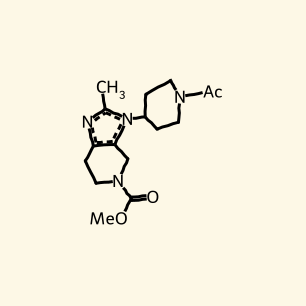 COC(=O)N1CCc2nc(C)n(C3CCN(C(C)=O)CC3)c2C1